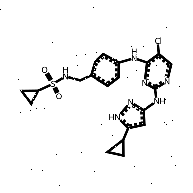 O=S(=O)(NCc1ccc(Nc2nc(Nc3cc(C4CC4)[nH]n3)ncc2Cl)cc1)C1CC1